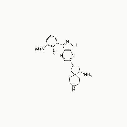 CNc1cccc(-c2n[nH]c3nc(C4CC(N)C5(CCNCC5)C4)cnc23)c1Cl